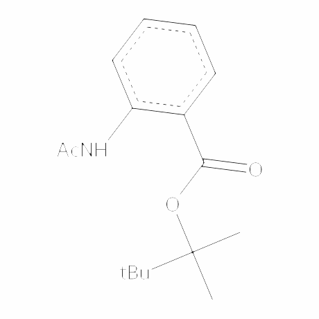 CC(=O)Nc1ccccc1C(=O)OC(C)(C)C(C)(C)C